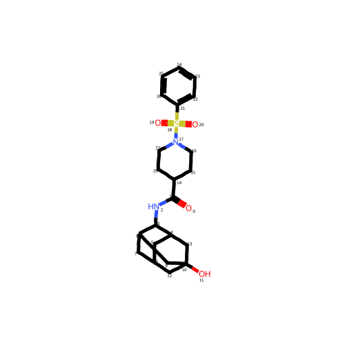 O=C(NC1C2CC3CC1CC(O)(C3)C2)C1CCN(S(=O)(=O)c2ccccc2)CC1